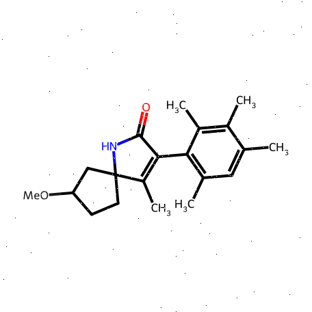 COC1CCC2(C1)NC(=O)C(c1c(C)cc(C)c(C)c1C)=C2C